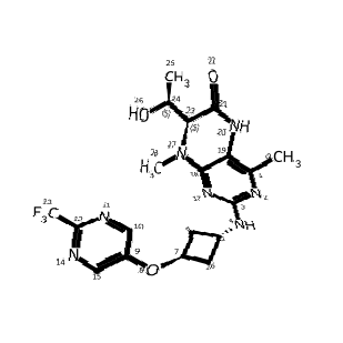 Cc1nc(N[C@H]2C[C@H](Oc3cnc(C(F)(F)F)nc3)C2)nc2c1NC(=O)[C@H]([C@H](C)O)N2C